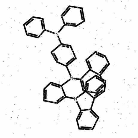 c1ccc(N(c2ccccc2)c2ccc(N(c3ccccc3-n3c4ccccc4c4ccccc43)c3cccc4ccccc34)cc2)cc1